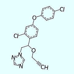 C#CCOC(Cn1cncn1)c1ccc(Oc2ccc(Cl)cc2)cc1Cl